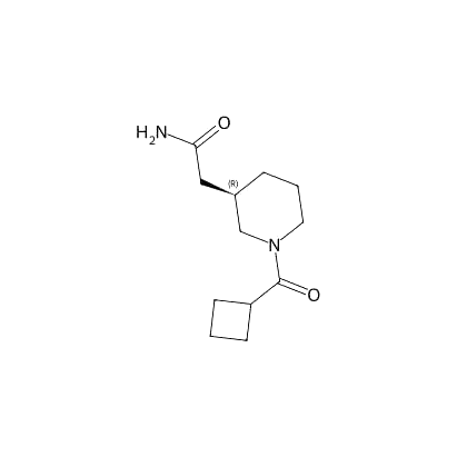 NC(=O)C[C@H]1CCCN(C(=O)C2CCC2)C1